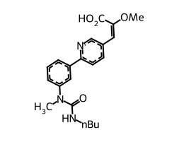 CCCCNC(=O)N(C)c1cccc(-c2ccc(/C=C(/OC)C(=O)O)cn2)c1